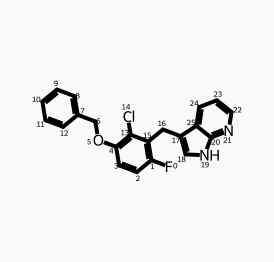 Fc1ccc(OCc2ccccc2)c(Cl)c1Cc1c[nH]c2ncccc12